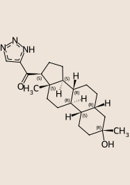 C[C@@]1(O)CC[C@H]2[C@H](CC[C@@H]3[C@@H]2CC[C@]2(C)[C@@H](C(=O)c4cnn[nH]4)CC[C@@H]32)C1